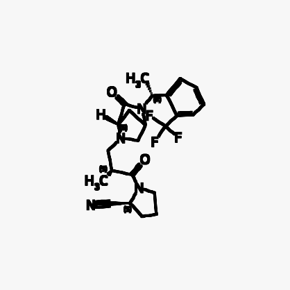 C[C@H](c1ccccc1C(F)(F)F)N1C(=O)[C@@H]2CC1CN2C[C@H](C)C(=O)N1CCC[C@H]1C#N